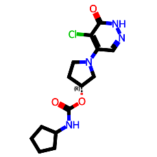 O=C(NC1CCCC1)O[C@@H]1CCN(c2cn[nH]c(=O)c2Cl)C1